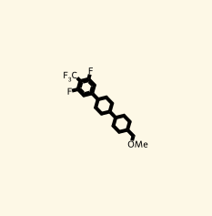 COCC1CCC(C2CCC(c3cc(F)c(C(F)(F)F)c(F)c3)CC2)CC1